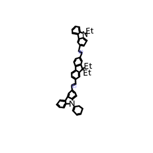 CCn1c2ccccc2c2cc(/C=C/c3ccc4c(c3)C(CC)(CC)c3cc(/C=C/c5ccc6c(c5)c5ccccc5n6C5=CC=CCC5)ccc3-4)ccc21